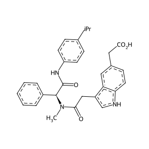 CC(C)c1ccc(NC(=O)[C@H](c2ccccc2)N(C)C(=O)Cc2c[nH]c3ccc(CC(=O)O)cc23)cc1